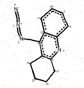 [N-]=[N+]=Nc1c2c(nc3ccccc13)CCCC2